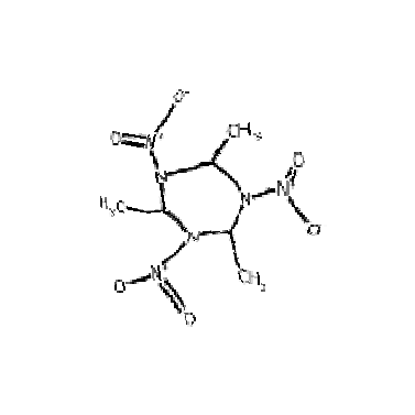 CC1N([N+](=O)[O-])C(C)N([N+](=O)[O-])C(C)N1[N+](=O)[O-]